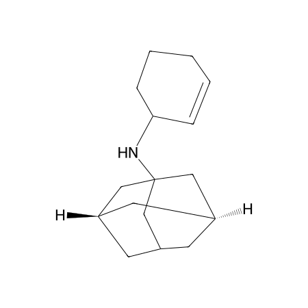 C1=CC(NC23CC4C[C@H](C2)C[C@H](C4)C3)CCC1